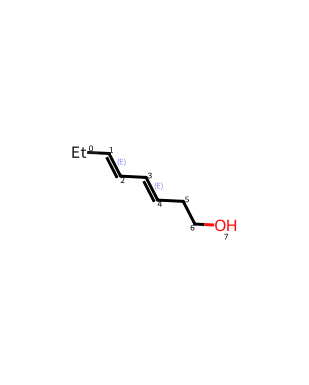 CC/C=C/C=C/CCO